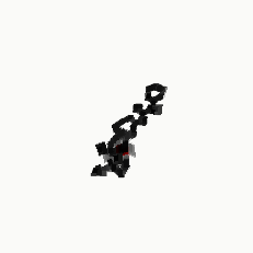 CC(=O)N1CC[C@]23CCCC[C@H]2[C@H]1Cc1ccc(OC(=O)Nc2ccccc2)cc13